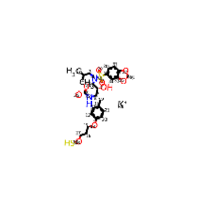 CC(C)CN(C[C@H](O)[C@H](Cc1ccc(OCCCOS)cc1)NC(=O)[O-])S(=O)(=O)c1ccc2c(c1)OCO2.[K+]